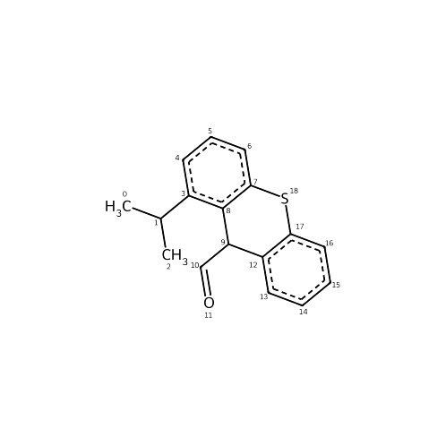 CC(C)c1cccc2c1C(C=O)c1ccccc1S2